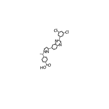 CC(c1ccc(C(=O)O)cc1)n1ccc(-c2ccc3ncc(-c4cc(Cl)cc(Cl)c4)nc3c2)n1